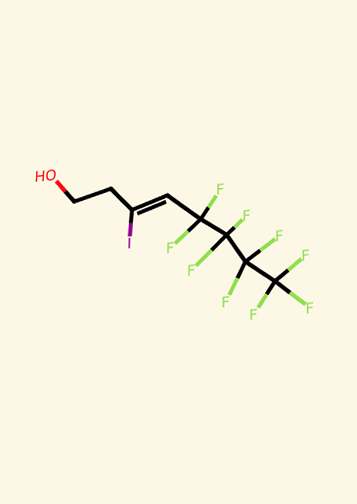 OCC/C(I)=C/C(F)(F)C(F)(F)C(F)(F)C(F)(F)F